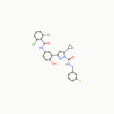 O=C(Nc1ccc(O)c(-c2cc(C3CC3)n(C(=O)NCc3cccc(F)c3)n2)c1)c1c(Cl)cccc1Cl